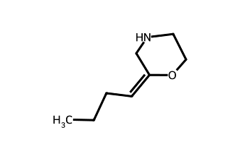 CCCC=C1CNCCO1